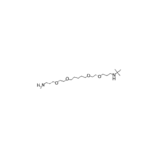 CC(C)(C)NCCCOCCOCCCCCOCCOCCCN